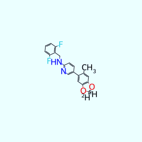 [2H]C1([2H])Oc2cc(C)c(-c3ccc(NCc4c(F)cccc4F)nc3)cc2O1